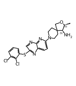 C[C@@H]1OCC2(CCN(c3ccc4nc(Sc5cccc(Cl)c5Cl)cnc4n3)CC2)[C@@H]1N